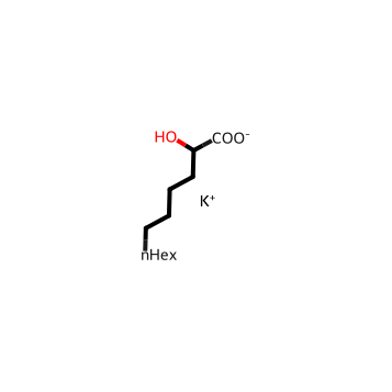 CCCCCCCCCCC(O)C(=O)[O-].[K+]